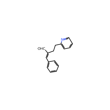 O=[C]C(=Cc1ccccc1)CCc1ccccn1